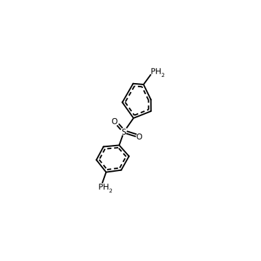 O=S(=O)(c1ccc(P)cc1)c1ccc(P)cc1